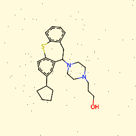 OCCCN1CCN(C2Cc3ccccc3Sc3ccc(C4CCCC4)cc32)CC1